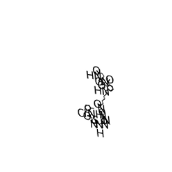 Cc1nc(Nc2ncc(C(=O)Nc3c(C)cccc3Cl)s2)cc(N2CCN(C(=O)CCCCCNc3cccc4c3C(=O)N(C3CCC(=O)NC3=O)C4=O)CC2)n1